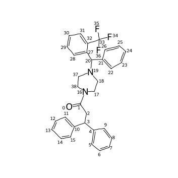 O=C(CC(c1ccccc1)c1ccccc1)N1CCN(C(c2ccccc2)c2ccccc2C(F)(F)F)CC1